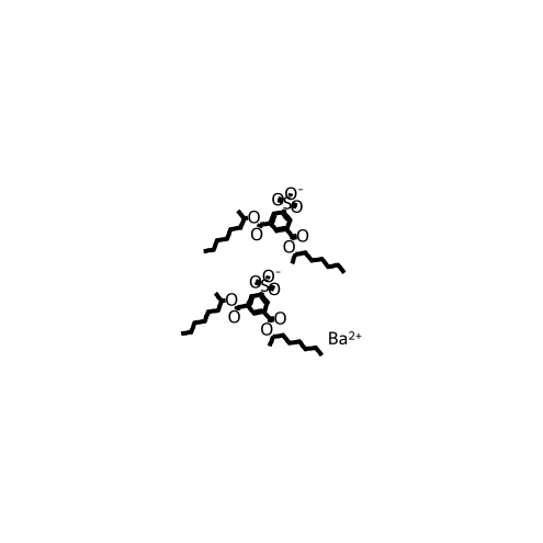 CCCCCCC(C)OC(=O)c1cc(C(=O)OC(C)CCCCCC)cc(S(=O)(=O)[O-])c1.CCCCCCC(C)OC(=O)c1cc(C(=O)OC(C)CCCCCC)cc(S(=O)(=O)[O-])c1.[Ba+2]